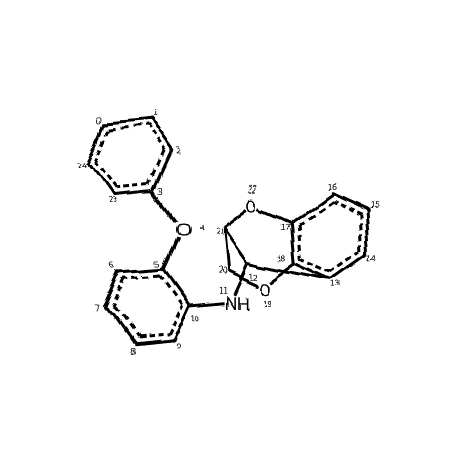 c1ccc(Oc2ccccc2NC2c3cccc4c3OCC2O4)cc1